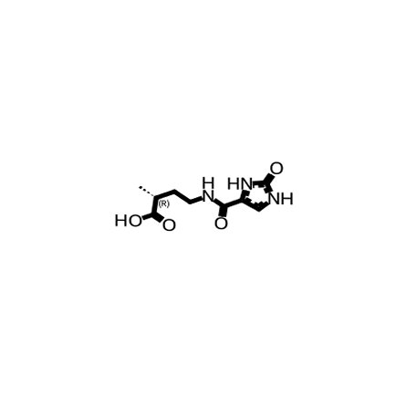 C[C@H](CCNC(=O)c1c[nH]c(=O)[nH]1)C(=O)O